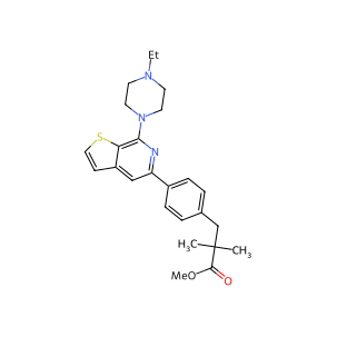 CCN1CCN(c2nc(-c3ccc(CC(C)(C)C(=O)OC)cc3)cc3ccsc23)CC1